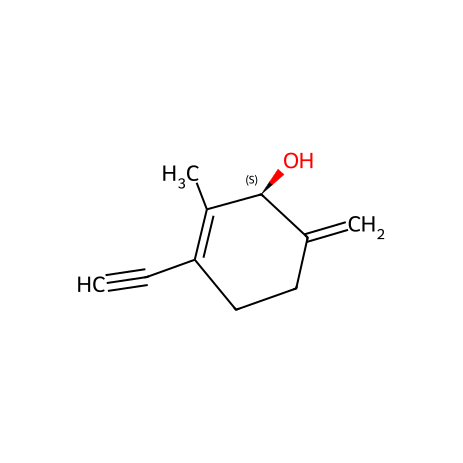 C#CC1=C(C)[C@@H](O)C(=C)CC1